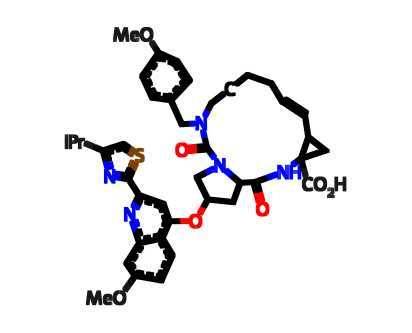 COc1ccc(CN2CCCC/C=C/C3CC3(C(=O)O)NC(=O)C3CC(Oc4cc(-c5nc(C(C)C)cs5)nc5cc(OC)ccc45)CN3C2=O)cc1